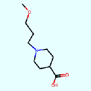 COCCCN1CCC(C(=O)O)CC1